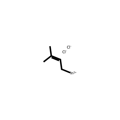 CC(C)=C[CH2][In+2].[Cl-].[Cl-]